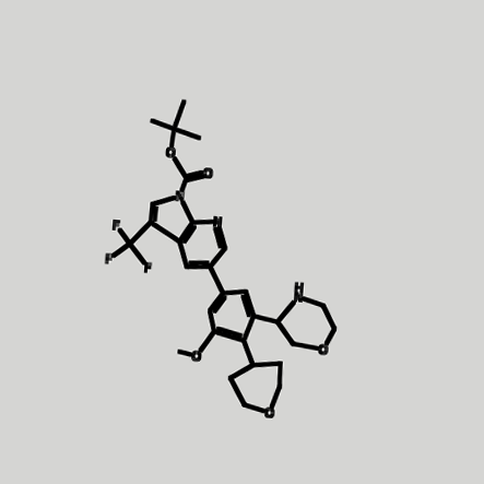 COc1cc(-c2cnc3c(c2)c(C(F)(F)F)cn3C(=O)OC(C)(C)C)cc(C2COCCN2)c1C1CCOCC1